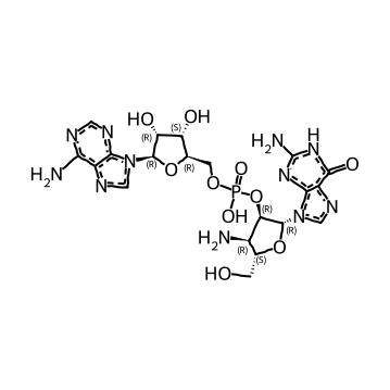 Nc1nc2c(ncn2[C@@H]2O[C@H](CO)[C@@H](N)[C@H]2OP(=O)(O)OC[C@H]2O[C@@H](n3cnc4c(N)ncnc43)[C@H](O)[C@@H]2O)c(=O)[nH]1